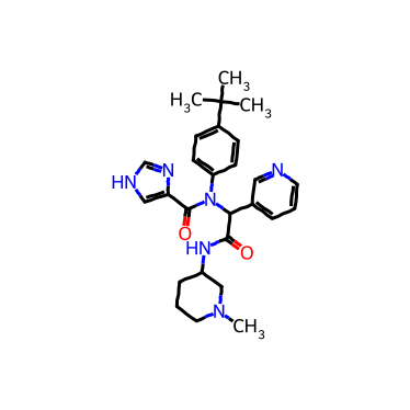 CN1CCCC(NC(=O)C(c2cccnc2)N(C(=O)c2c[nH]cn2)c2ccc(C(C)(C)C)cc2)C1